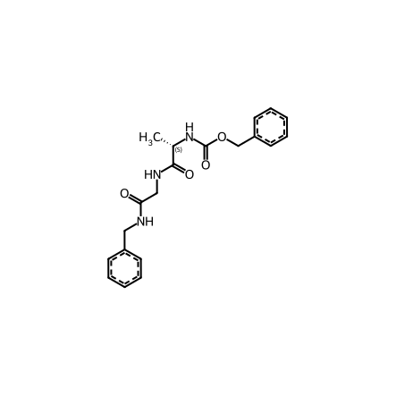 C[C@H](NC(=O)OCc1ccccc1)C(=O)NCC(=O)NCc1ccccc1